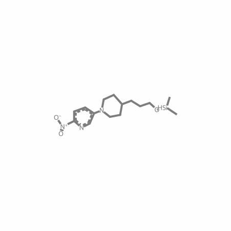 C[SiH](C)OCCCC1CCN(c2ccc([N+](=O)[O-])nc2)CC1